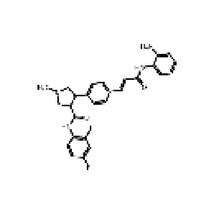 CN1CC(C(=O)Nc2ccc(F)cc2F)C(c2ccc(/C=C/C(=O)Nc3ccccc3N)cc2)C1